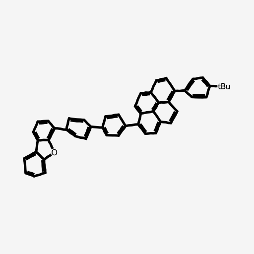 CC(C)(C)c1ccc(-c2ccc3ccc4c(-c5ccc(-c6ccc(-c7cccc8c7oc7ccccc78)cc6)cc5)ccc5ccc2c3c54)cc1